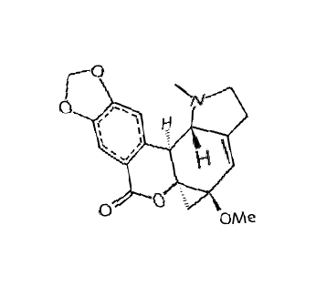 CO[C@]12C=C3CCN(C)[C@H]3[C@@H]3c4cc5c(cc4C(=O)O[C@@]31C2)OCO5